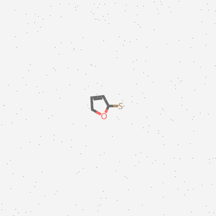 [S]C1C=CCO1